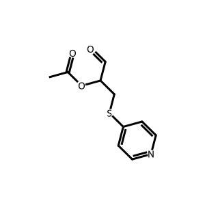 CC(=O)OC(C=O)CSc1ccncc1